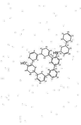 OC1=C(C2C=CC=CC2)CC(C2C=CC=C(c3cccc(-c4ccc(NC5C=CCC(C6CC=CCC6)C5)c(C5=CCCCC5)c4)c3)C2)CC1